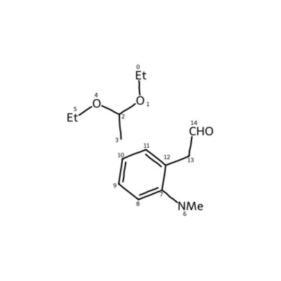 CCOC(C)OCC.CNc1ccccc1CC=O